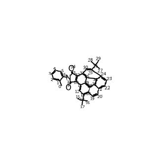 Cc1ccccc1-n1c(=O)c2c3cc(C(C)(C)C)c4ccc5ccc6c(C(C)(C)C)cc(c2c1=O)c1c6c5c4c31